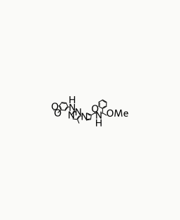 COCC(NC(=O)c1ccn(-c2nc(Nc3ccc4c(c3)OCO4)ncc2C)c1)c1ccccc1